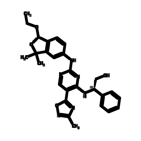 CCOB1OC(C)(C)c2cc(Nc3ncc(-c4nc(C)no4)c(N[C@H](CO)c4ccccc4)n3)ccc21